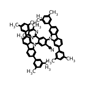 Cc1cc(C)cc(-c2ccc3c4ccc(-c5cc(C)cc(C)c5)cc4n(-c4cc(-c5nc(C)cc(C)n5)c(-n5c6cc(-c7cc(C)cc(C)c7)ccc6c6ccc(-c7cc(C)cc(C)c7)cc65)cc4C#N)c3c2)c1